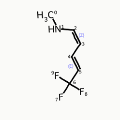 CN/C=C\C=C\C(F)(F)F